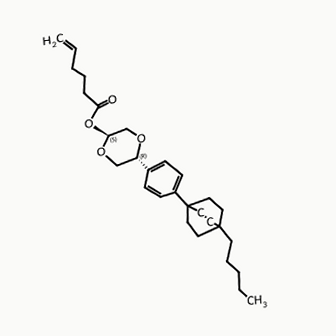 C=CCCCC(=O)O[C@H]1CO[C@H](c2ccc(C34CCC(CCCCC)(CC3)CC4)cc2)CO1